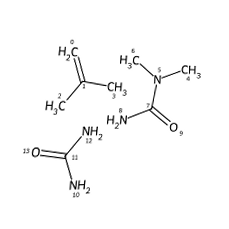 C=C(C)C.CN(C)C(N)=O.NC(N)=O